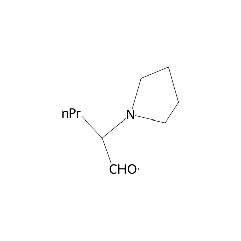 CCCC([C]=O)N1CCCC1